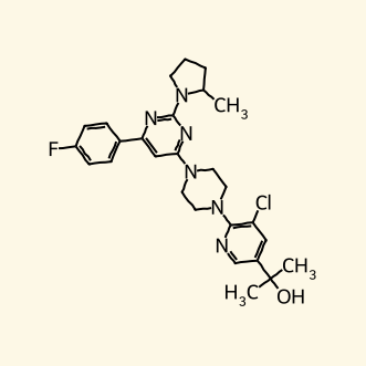 CC1CCCN1c1nc(-c2ccc(F)cc2)cc(N2CCN(c3ncc(C(C)(C)O)cc3Cl)CC2)n1